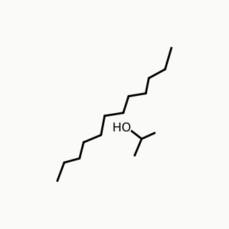 CC(C)O.CCCCCCCCCCCC